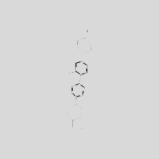 CCCCCC1CSC(c2ccc(-c3ccc([C@H]4CC[C@H](CCC)CC4)cc3F)cc2)SC1